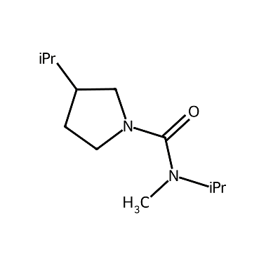 CC(C)C1CCN(C(=O)N(C)C(C)C)C1